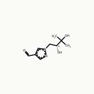 CC(C)(O)[C@H](O)Cn1cc(C=O)cn1